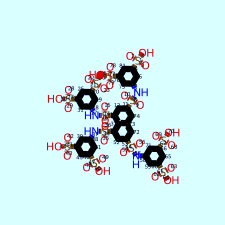 O=S(=O)(O)c1cc(NS(=O)(=O)c2cc(S(=O)(=O)Nc3cc(S(=O)(=O)O)cc(S(=O)(=O)O)c3)c3c(S(=O)(=O)Nc4cc(S(=O)(=O)O)cc(S(=O)(=O)O)c4)cc(S(=O)(=O)Nc4cc(S(=O)(=O)O)cc(S(=O)(=O)O)c4)cc3c2)cc(S(=O)(=O)O)c1